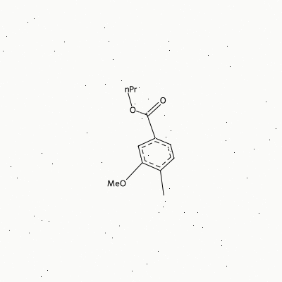 CCCOC(=O)c1ccc(C)c(OC)c1